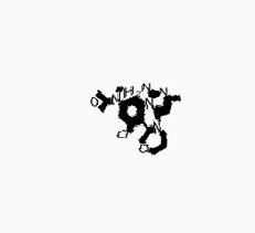 Cc1cc(N2CCCOC[C@H]2c2ccc(N(C)C3COC3)cc2Cl)nc(N)n1